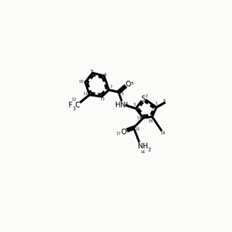 Cc1sc(NC(=O)c2cccc(C(F)(F)F)c2)c(C(N)=O)c1C